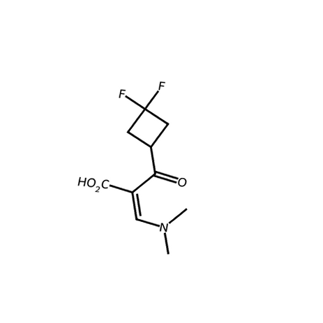 CN(C)/C=C(/C(=O)O)C(=O)C1CC(F)(F)C1